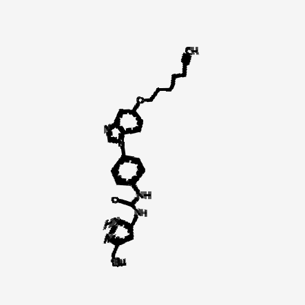 C#CCCCCCOc1ccc2c(c1)ncn2-c1ccc(NC(=O)Nc2cc(C(C)(C)C)n[nH]2)cc1